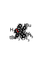 Cc1cc2c3c(c1)N(c1ccccc1F)c1c(oc4ccc(C(C)(C)C)cc14)B3c1cc3c(cc1N2c1ccc(C(C)(C)C)cc1-c1ccccc1)C(C)(C)CCC3(C)C